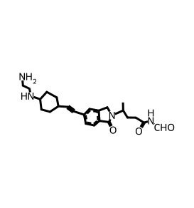 CC(CCC(=O)NC=O)N1Cc2cc(C#CC3CCC(NCCN)CC3)ccc2C1=O